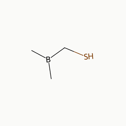 CB(C)CS